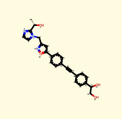 C[C@H](O)c1nccn1Cc1cc(-c2ccc(C#Cc3ccc(C(O)CO)cc3)cc2)on1